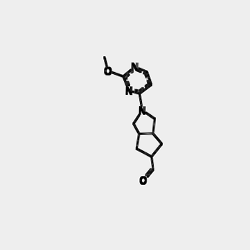 COc1nccc(N2CC3CC(C=O)CC3C2)n1